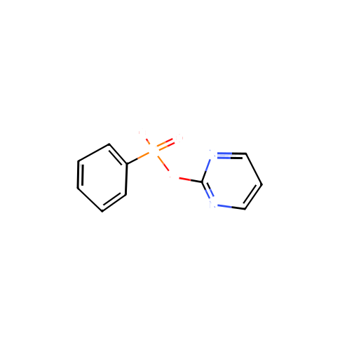 O=P(O)(Oc1ncccn1)c1ccccc1